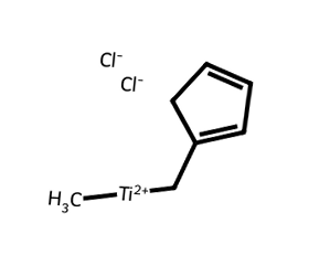 [CH3][Ti+2][CH2]C1=CC=CC1.[Cl-].[Cl-]